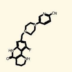 N#Cc1ccc(N2CCN(Cc3cc(F)c4c5c(c(=O)[nH]c4c3)CCCN5)CC2)cn1